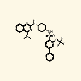 CN(C)c1nc(N[C@H]2CC[C@@H](NS(=O)(=O)c3ccc(-c4ccccc4)cc3OC(F)(F)F)CC2)nc2ccccc12